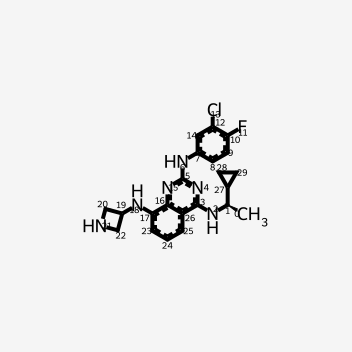 C[C@@H](Nc1nc(Nc2ccc(F)c(Cl)c2)nc2c(NC3CNC3)cccc12)C1CC1